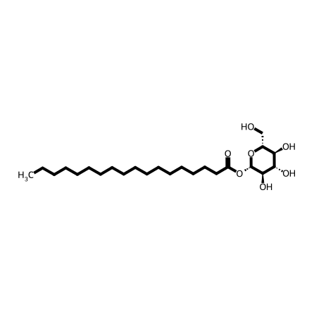 CCCCCCCCCCCCCCCCCC(=O)O[C@@H]1O[C@H](CO)[C@@H](O)[C@H](O)[C@H]1O